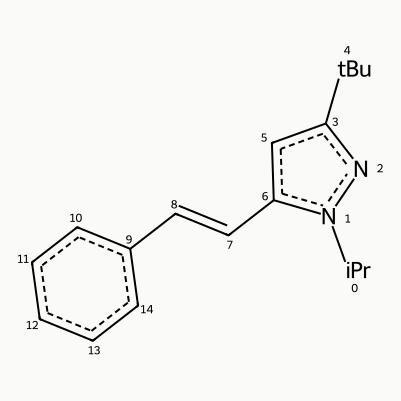 CC(C)n1nc(C(C)(C)C)cc1/C=C/c1ccccc1